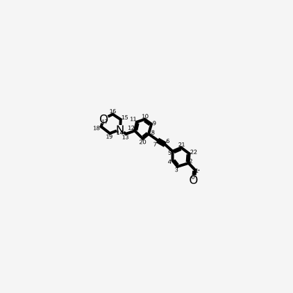 O=[C]c1ccc(C#Cc2cccc(CN3CCOCC3)c2)cc1